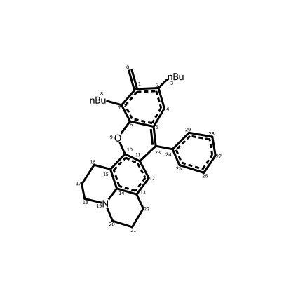 C=c1c(CCCC)cc2c(c1CCCC)Oc1c(cc3c4c1CCCN4CCC3)C=2c1ccccc1